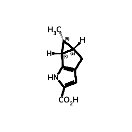 C[C@@H]1[C@@H]2Cc3cc(C(=O)O)[nH]c3[C@H]12